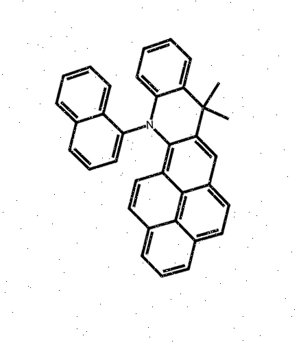 CC1(C)c2ccccc2N(c2cccc3ccccc23)c2c1cc1ccc3cccc4ccc2c1c34